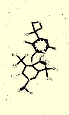 C[C@@H]1C(C(C)(C)C)[C@](Cc2nc(Br)cc(C3(O)COC3)c2F)(C(=O)O)C(C(C)(C)C)CN1C(=O)O